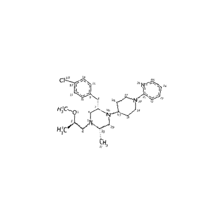 CO[C@H](C)CN1C[C@H](Cc2ccc(Cl)cc2)N(C2CCN(c3ccccn3)CC2)C[C@@H]1C